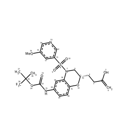 C=C(O)CC[C@H]1CN(S(=O)(=O)c2cncc(OC)c2)c2cc(NC(=O)OC(C)(C)C(F)(F)F)ccc2O1